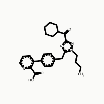 CCCCn1nc(C(=O)C2CCCCC2)nc1Cc1ccc(-c2cccnc2C(=O)O)cc1